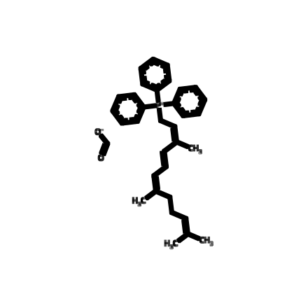 CC(C)=CCCC(C)=CC=CC(C)=CC[P+](c1ccccc1)(c1ccccc1)c1ccccc1.O=C[O-]